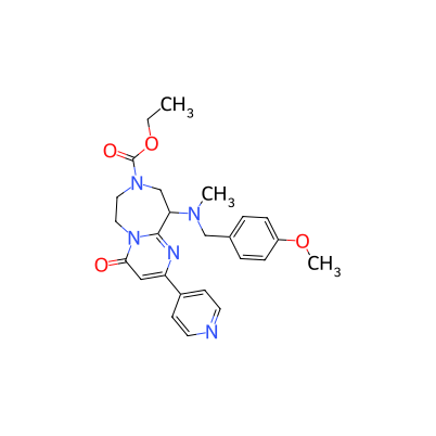 CCOC(=O)N1CCn2c(nc(-c3ccncc3)cc2=O)C(N(C)Cc2ccc(OC)cc2)C1